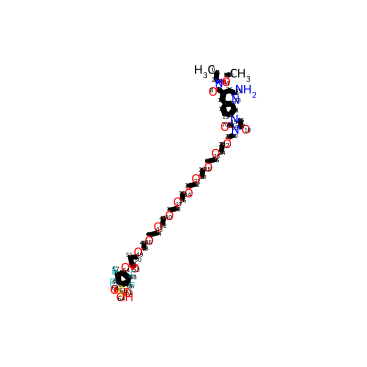 CCCN(OCC)C(=O)C1=Cc2ccc(N3CC(=O)N(CCOCCOCCOCCOCCOCCOCCOCCOCCOCCOCCC(=O)Oc4c(F)c(F)c(S(=O)(=O)O)c(F)c4F)C3=O)cc2N=C(N)C1